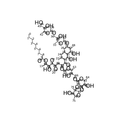 CCCCCCCCCC(=O)O[C@H](C)[C@H](O)C(=O)[C@@H](OC)[C@@H]1Cc2cc3cc(OC(C)OC(C)[C@@H](O)COC(C)OC(C)[C@@H](O)CO)c(C)c(O)c3c(O)c2C(=O)[C@H]1O[C@@H](C)OC(C)[C@@H](O)CO[C@H]1CC(OC2OC(C)[C@@H](O)C2(C)O)[C@@H](O)C(C)O1